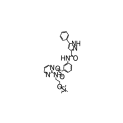 C[Si](C)(C)OCCN(c1ncccn1)S(=O)(=O)c1cccc(NC(=O)c2cc(-c3ccccc3)[nH]n2)c1